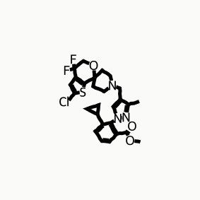 COC(=O)c1cccc(C2CC2)c1-n1cc(CN2CCC3(CC2)OCC(F)(F)c2cc(Cl)sc23)c(C)n1